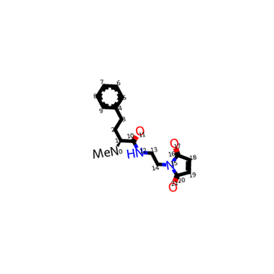 CN[C@@H](CCc1ccccc1)C(=O)NCCN1C(=O)C=CC1=O